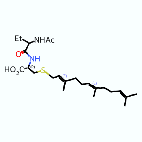 CCC(NC(C)=O)C(=O)N[C@@H](CSC/C=C(\C)CC/C=C(\C)CCC=C(C)C)C(=O)O